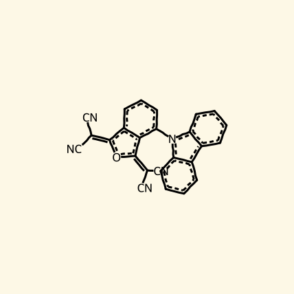 N#CC(C#N)=c1oc(=C(C#N)C#N)c2c(-n3c4ccccc4c4ccccc43)cccc12